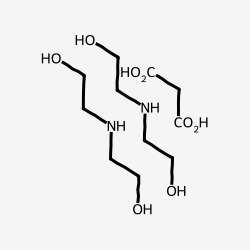 O=C(O)CC(=O)O.OCCNCCO.OCCNCCO